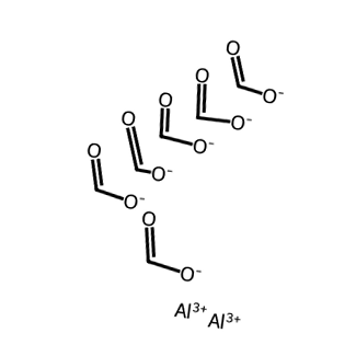 O=C[O-].O=C[O-].O=C[O-].O=C[O-].O=C[O-].O=C[O-].[Al+3].[Al+3]